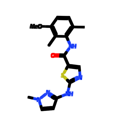 COc1ccc(C)c(NC(=O)c2cnc(Nc3ccn(C)n3)s2)c1C